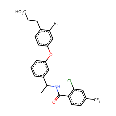 CCc1cc(Oc2cccc(C(C)NC(=O)c3ccc(C(F)(F)F)cc3Cl)c2)ccc1CCC(=O)O